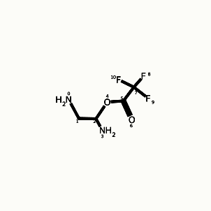 NCC(N)OC(=O)C(F)(F)F